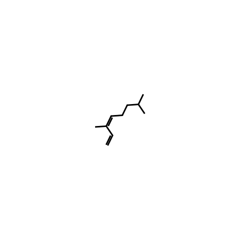 C=C/C(C)=C\CCC(C)C